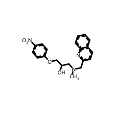 CN(Cc1ccc2ccccc2n1)CC(O)COc1ccc([N+](=O)[O-])cc1